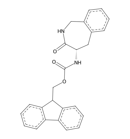 O=C(N[C@H]1Cc2ccccc2CNC1=O)OCC1c2ccccc2-c2ccccc21